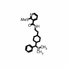 CSc1ncccc1C(=O)NCCC1CCC(C(c2ccccc2)N(C)C)CC1